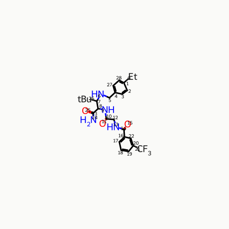 CCc1ccc(CNC(C(NC(=O)CNC(=O)c2cccc(C(F)(F)F)c2)C(N)=O)C(C)(C)C)cc1